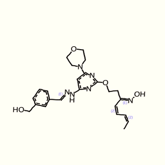 C\C=C/C=C\C(CCOc1nc(N/N=C/c2cccc(CO)c2)cc(N2CCOCC2)n1)=N\O